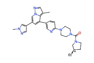 CC[C@@H]1CCN(C(=O)N2CCN(c3ccc(-c4cc(-c5cnn(C)c5)cn5ncc(C)c45)cn3)CC2)C1